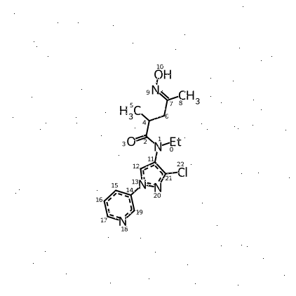 CCN(C(=O)C(C)CC(C)=NO)c1cn(-c2cccnc2)nc1Cl